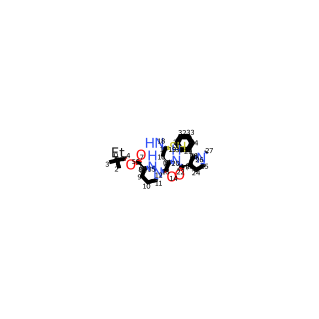 CCC(C)(C)COC(=O)[C@@H]1CCCN(C(=O)[C@H](CC(=N)S)NC(=O)[C@@H]2CCN(C)[C@H]2c2ccccc2)N1